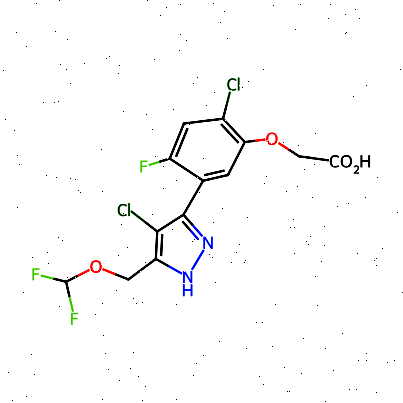 O=C(O)COc1cc(-c2n[nH]c(COC(F)F)c2Cl)c(F)cc1Cl